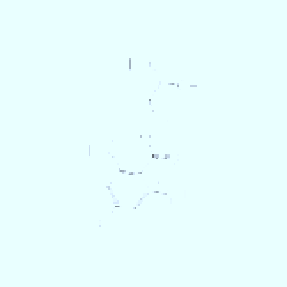 Cc1cc(C)c(C(=O)OO[CH]C(C)C)c(C)c1